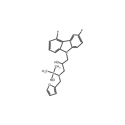 CS(C)(N=O)N(Cc1ccco1)CC(O)Cn1c2ccc(F)cc2c2c(F)cccc21